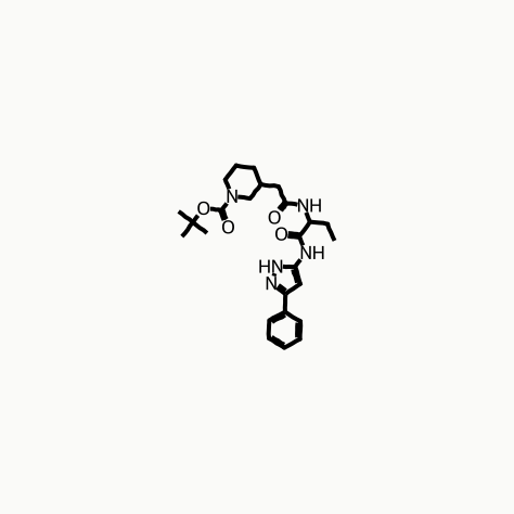 CCC(NC(=O)CC1CCCN(C(=O)OC(C)(C)C)C1)C(=O)Nc1cc(-c2ccccc2)n[nH]1